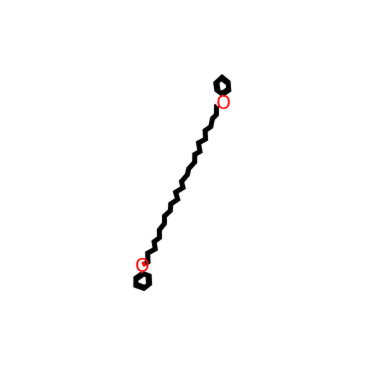 c1ccc(OCCCCCCCCCCCCCCCCCCCCCCCCCCOc2ccccc2)cc1